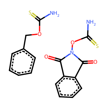 NC(=S)OCc1ccccc1.NC(=S)ON1C(=O)c2ccccc2C1=O